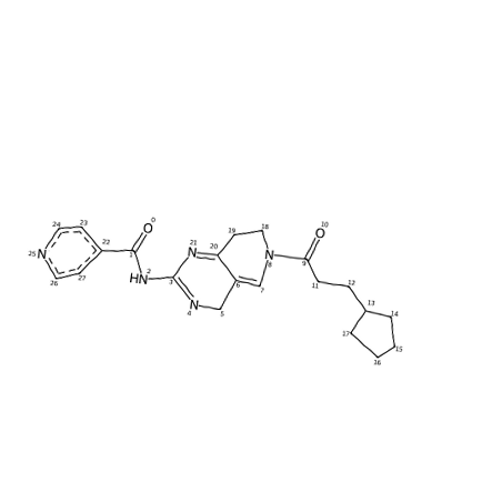 O=C(NC1=NCC2=CN(C(=O)CCC3CCCC3)CCC2=N1)c1ccncc1